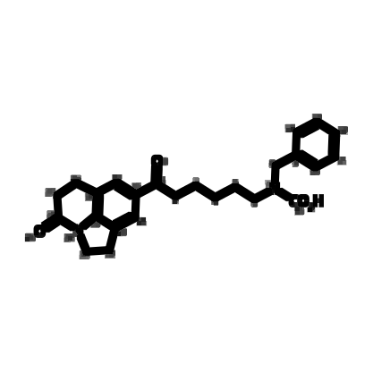 O=C(CCCCCN(Cc1ccccc1)C(=O)O)c1cc2c3c(c1)CCN3C(=O)CC2